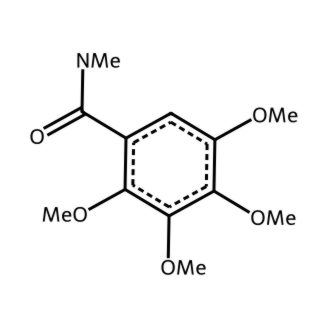 CNC(=O)c1cc(OC)c(OC)c(OC)c1OC